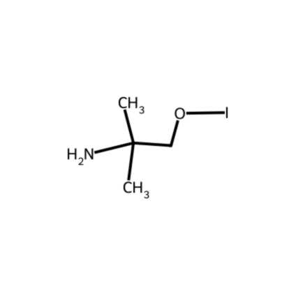 CC(C)(N)COI